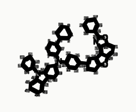 c1ccc(-c2cccc(N(c3ccc(-c4ccc5oc6ccc7oc(-c8ccccc8)nc7c6c5c4)cc3)c3ccc4c5ccccc5n(-c5ccccc5)c4c3)c2)cc1